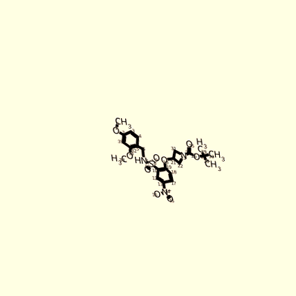 COc1ccc(CNS(=O)(=O)c2cc([N+](=O)[O-])ccc2OC2CN(C(=O)OC(C)(C)C)C2)c(OC)c1